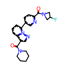 O=C(c1ccc(-c2cccc3c(C(=O)N4CCCCC4)cnn23)cn1)N1CC(F)C1